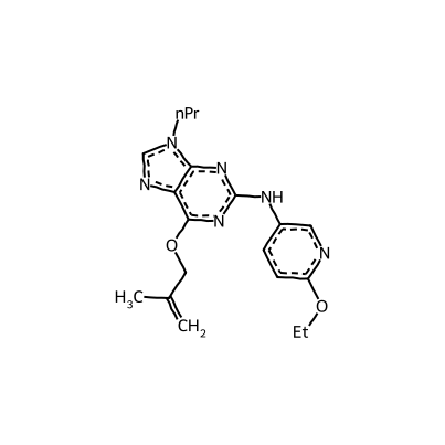 C=C(C)COc1nc(Nc2ccc(OCC)nc2)nc2c1ncn2CCC